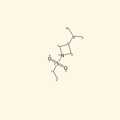 CCS(=O)(=O)N1CC(C(C)C)C1